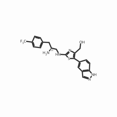 N[C@H](CNc1nc(CO)c(-c2ccc3[nH]ncc3c2)s1)Cc1ccc(C(F)(F)F)cc1